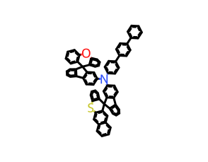 c1ccc(-c2ccc(-c3ccc(N(c4ccc5c(c4)C4(c6ccccc6Oc6ccccc64)c4ccccc4-5)c4ccc5c(c4)C4(c6ccccc6Sc6cc7ccccc7cc64)c4ccccc4-5)cc3)cc2)cc1